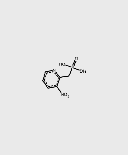 O=[N+]([O-])c1cccnc1CP(=O)(O)O